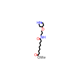 COC(=O)CCCCCCCC(=O)NCCCOC1CCNCC1